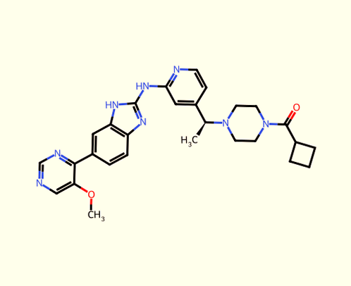 COc1cncnc1-c1ccc2nc(Nc3cc([C@H](C)N4CCN(C(=O)C5CCC5)CC4)ccn3)[nH]c2c1